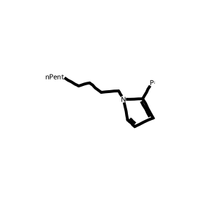 CCCCCCCCCn1cccc1[P]